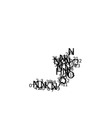 CN1CCN(C2CCN(Cc3ccc(C(=O)NN(CC4CCCC4)c4nc(C#N)nc5c4ncn5C)cc3)CC2)CC1